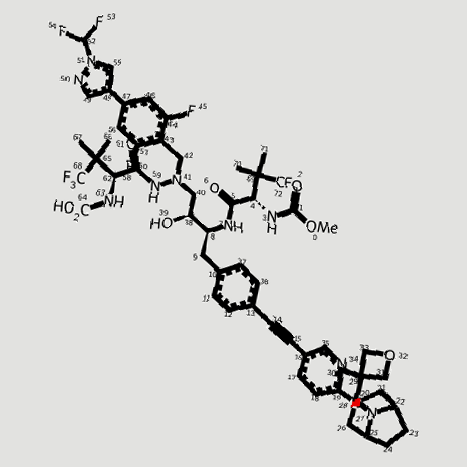 COC(=O)N[C@H](C(=O)N[C@@H](Cc1ccc(C#Cc2ccc(N3CC4CCC(C3)N4CC3(C)COC3)nc2)cc1)[C@@H](O)CN(Cc1c(F)cc(-c2cnn(C(F)F)c2)cc1F)NC(=O)[C@@H](NC(=O)O)C(C)(C)C(F)(F)F)C(C)(C)C(F)(F)F